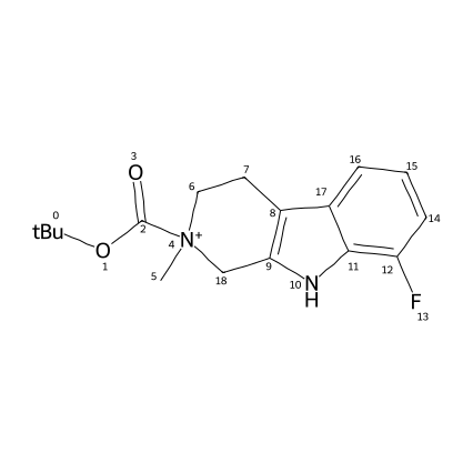 CC(C)(C)OC(=O)[N+]1(C)CCc2c([nH]c3c(F)cccc23)C1